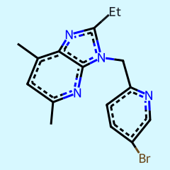 CCc1nc2c(C)cc(C)nc2n1Cc1ccc(Br)cn1